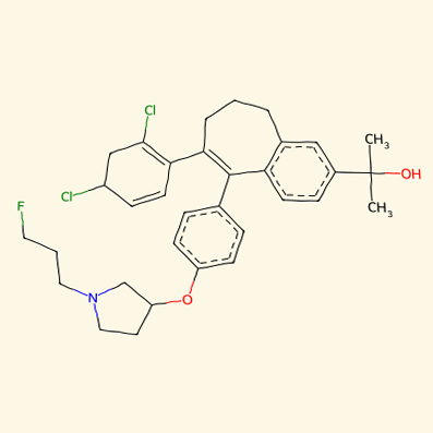 CC(C)(O)c1ccc2c(c1)CCCC(C1=C(Cl)CC(Cl)C=C1)=C2c1ccc(OC2CCN(CCCF)C2)cc1